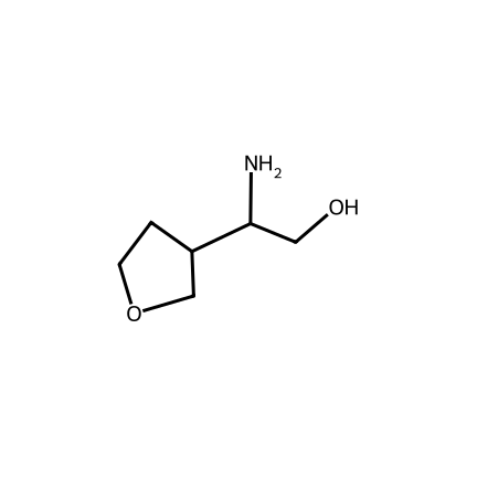 NC(CO)C1CCOC1